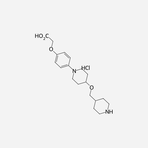 Cl.O=C(O)COc1ccc(N2CCC(OCC3CCNCC3)CC2)cc1